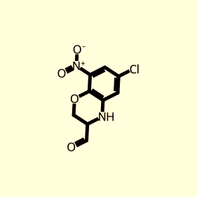 O=CC1COc2c(cc(Cl)cc2[N+](=O)[O-])N1